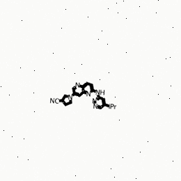 CC(C)c1cnnc(Nc2ccc3ncc(N4CCC(C#N)C4)cc3n2)c1